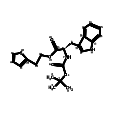 CC(C)(C)OC(=O)N[C@@H](Cc1c[nH]c2ccccc12)C(=O)OCCc1cccs1